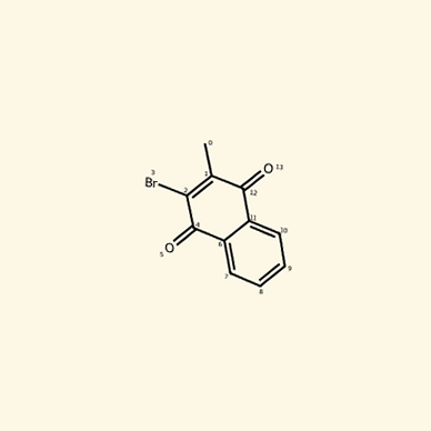 CC1=C(Br)C(=O)c2ccccc2C1=O